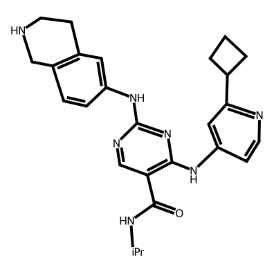 CC(C)NC(=O)c1cnc(Nc2ccc3c(c2)CCNC3)nc1Nc1ccnc(C2CCC2)c1